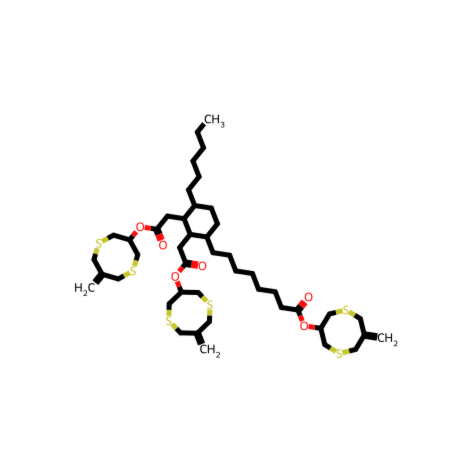 C=C1CSCC(OC(=O)CCCCCCCC2CCC(CCCCCC)C(CC(=O)OC3CSCC(=C)CSC3)C2CC(=O)OC2CSCC(=C)CSC2)CSC1